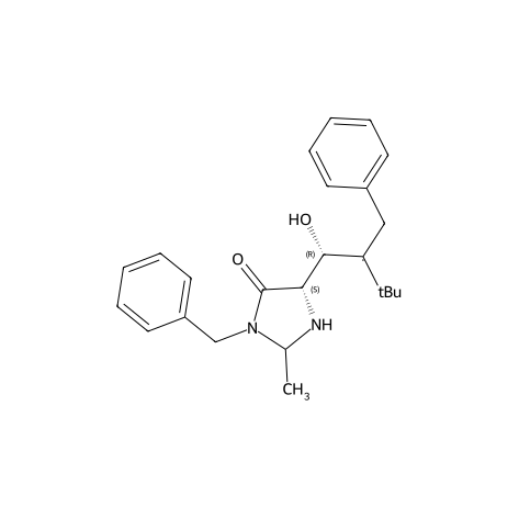 CC1N[C@@H]([C@H](O)[C](Cc2ccccc2)C(C)(C)C)C(=O)N1Cc1ccccc1